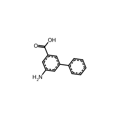 Nc1cc(C(=O)O)cc(-c2ccccc2)c1